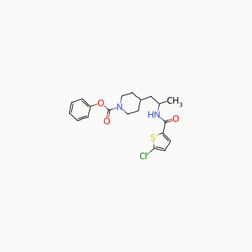 CC(CC1CCN(C(=O)Oc2ccccc2)CC1)NC(=O)c1ccc(Cl)s1